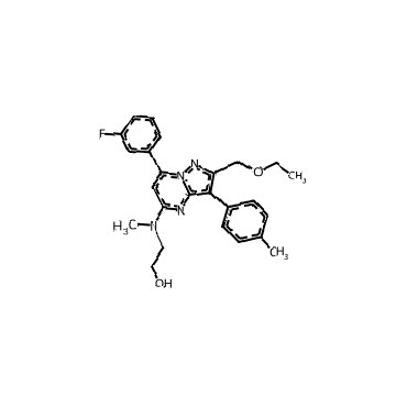 CCOCc1nn2c(-c3cccc(F)c3)cc(N(C)CCO)nc2c1-c1ccc(C)cc1